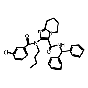 CCCCN(C(=O)c1cccc(Cl)c1)c1nc2n(c1C(=O)NC(c1ccccc1)c1ccccc1)CCCC2